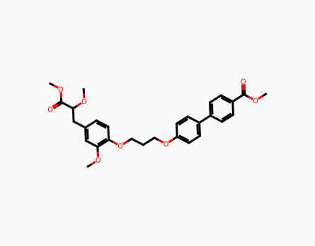 COC(=O)c1ccc(-c2ccc(OCCCOc3ccc(CC(OC)C(=O)OC)cc3OC)cc2)cc1